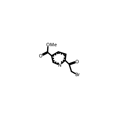 COC(=O)c1ccc(C(=O)CBr)nc1